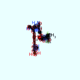 CC[C@@]1(O[P@](=O)(O)OCc2ccc(NC(=O)[C@H](CCCNC(N)=O)NC(=O)[C@@H](NC(=O)[C@H](CC(=O)N[C@H]3CCOC3=O)NC(=O)CCOCCOCCOCCOCCNC(=O)[C@H](CNC(=O)CCP(=O)(O)O)N3C(=O)C=CC3=O)C(C)C)cc2)C(=O)OCc2c1cc1n(c2=O)CC2=C3c4c(cc(F)c(C)c4CC[C@@H]3NC(=O)C(F)F)NC21C